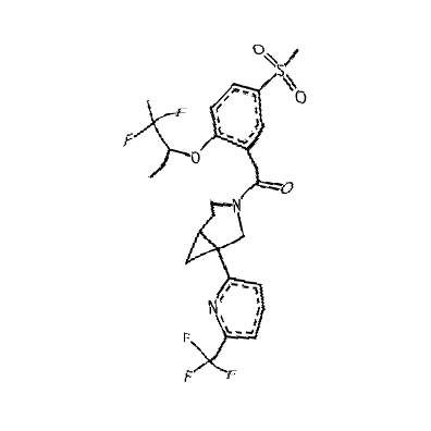 CC(Oc1ccc(S(C)(=O)=O)cc1C(=O)N1CC2CC2(c2cccc(C(F)(F)F)n2)C1)C(C)(F)F